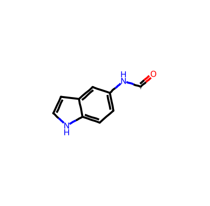 O=[C]Nc1ccc2[nH]ccc2c1